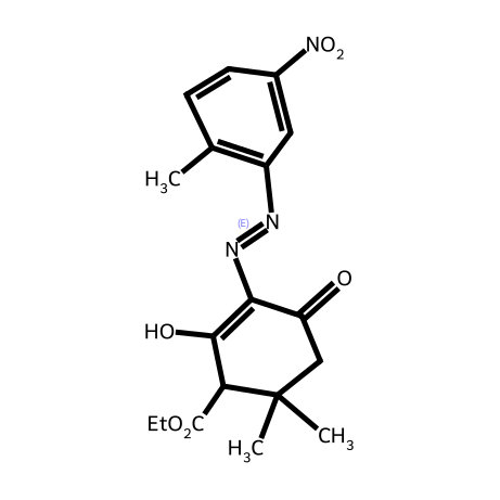 CCOC(=O)C1C(O)=C(/N=N/c2cc([N+](=O)[O-])ccc2C)C(=O)CC1(C)C